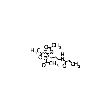 C=CC(=O)NCCC[Si](OC(C)=O)(OC(C)=O)OC(C)=O